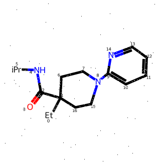 CCC1(C(=O)NC(C)C)CCN(c2cc[c]cn2)CC1